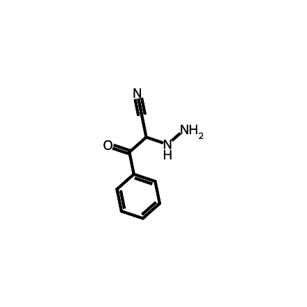 N#CC(NN)C(=O)c1ccccc1